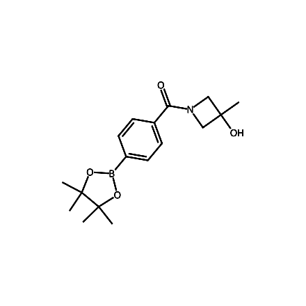 CC1(O)CN(C(=O)c2ccc(B3OC(C)(C)C(C)(C)O3)cc2)C1